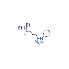 CCN(CC)C(=S)CCCc1nnnn1C1CCCCC1